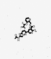 COc1ncc(-c2ccc3nc(NC(C)=O)cn3n2)cc1C(=O)NCc1ncccc1OC(F)C(F)F